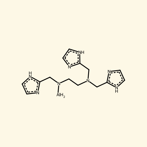 [AlH2][N](CCN(Cc1ncc[nH]1)Cc1ncc[nH]1)Cc1ncc[nH]1